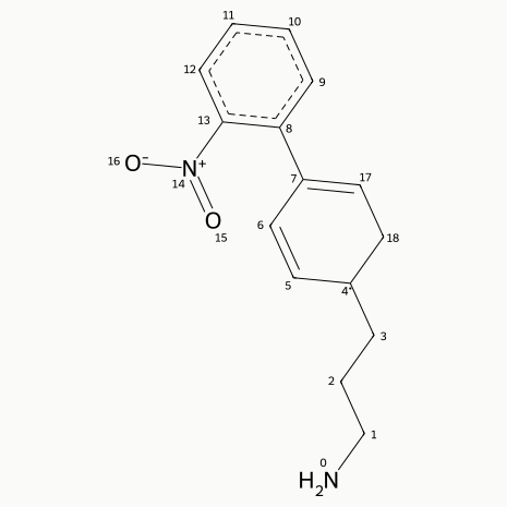 NCCC[C]1C=CC(c2ccccc2[N+](=O)[O-])=CC1